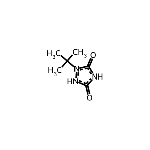 CC(C)(C)n1[nH]c(=O)[nH]c1=O